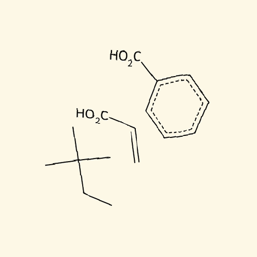 C=CC(=O)O.CCC(C)(C)C.O=C(O)c1ccccc1